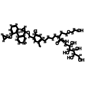 Cc1cc(COC2(c3cnccc3-c3ccccc3OC3CC3)CC2)c(Cl)cc1CCCCN(CCOCCO)C(=O)NC[C@H](O)[C@@H](O)[C@H](O)[C@H](O)CO